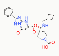 O=C(O)N1CCC(OCc2cc(=O)n3nc(-c4ccccc4)nc3[nH]2)(C(=O)NCC2CCC2)CC1